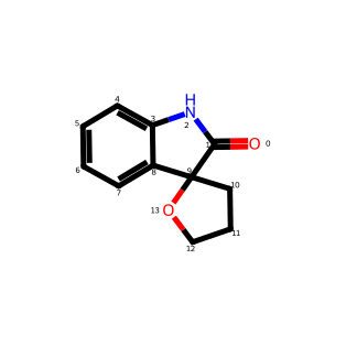 O=C1Nc2ccccc2C12CCCO2